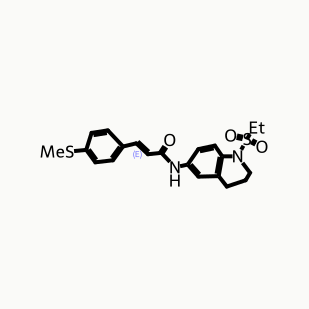 CCS(=O)(=O)N1CCCc2cc(NC(=O)/C=C/c3ccc(SC)cc3)ccc21